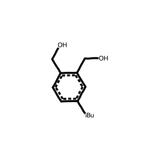 CCC(C)c1ccc(CO)c(CO)c1